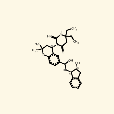 CCC1(CC)CC(=O)N([C@@H]2CC(C)(C)Oc3ccc(C(O)N[C@@H]4c5ccccc5C[C@H]4O)cc32)C(=N)N1